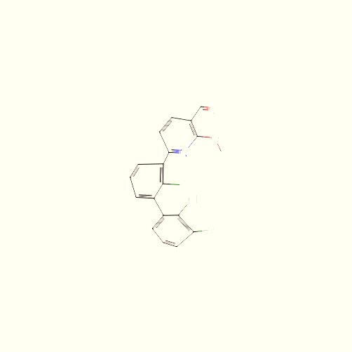 COc1nc(-c2cccc(-c3cccc(Br)c3Cl)c2Cl)ccc1C=O